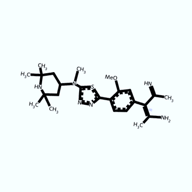 COc1cc(/C(C(C)=N)=C(\C)N)ccc1-c1nnc(N(C)C2CC(C)(C)NC(C)(C)C2)s1